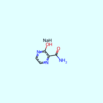 NC(=O)c1nccnc1O.[NaH]